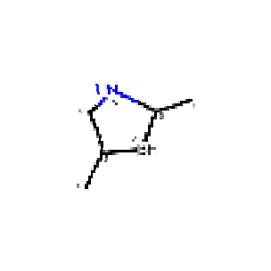 CC1BC(C)NC1